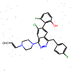 O=CC=CN1CCN(c2nnc(Cc3ccc(F)cc3)c3cc(-c4c(O)cccc4F)c(Cl)cc23)CC1